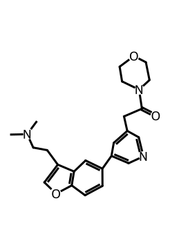 CN(C)CCc1coc2ccc(-c3cncc(CC(=O)N4CCOCC4)c3)cc12